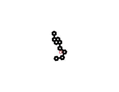 c1ccc(-c2cccc(-c3cccc4c3oc3ccc(-c5ccc6ccc7c(-c8ccccc8)ccc8ccc5c6c87)cc34)c2)cc1